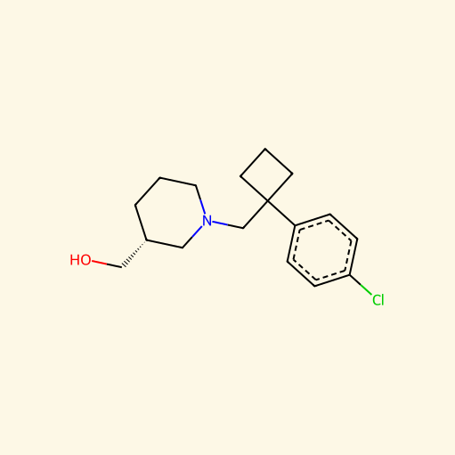 OC[C@@H]1CCCN(CC2(c3ccc(Cl)cc3)CCC2)C1